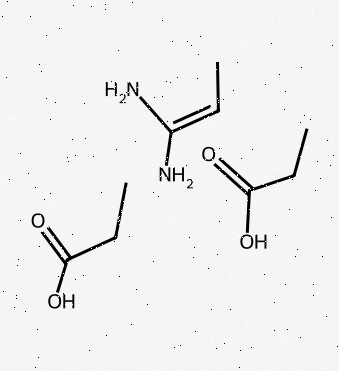 CC=C(N)N.CCC(=O)O.CCC(=O)O